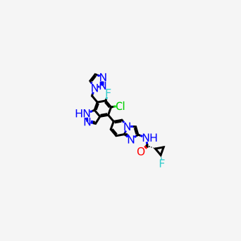 O=C(Nc1cn2cc(-c3c(Cl)c(F)c(Cn4ccnn4)c4[nH]ncc34)ccc2n1)[C@@H]1C[C@@H]1F